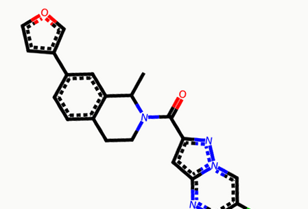 CC1c2cc(-c3ccoc3)ccc2CCN1C(=O)c1cc2ncc(Cl)cn2n1